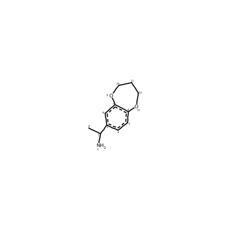 CC(N)c1ccc2c(c1)OCCCO2